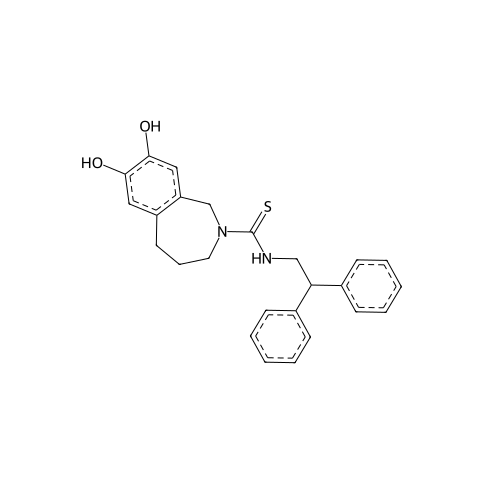 Oc1cc2c(cc1O)CN(C(=S)NCC(c1ccccc1)c1ccccc1)CCC2